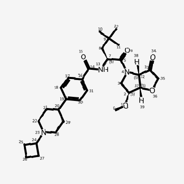 CO[C@H]1CN(C(=O)[C@H](CC(C)(C)C)NC(=O)c2ccc(C3CCN(C4CCC4)CC3)cc2)[C@@H]2C(=O)CO[C@H]12